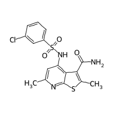 Cc1cc(NS(=O)(=O)c2cccc(Cl)c2)c2c(C(N)=O)c(C)sc2n1